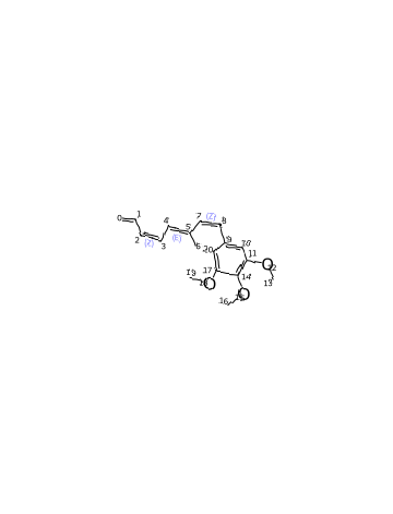 C=C\C=C/C=C(C)/C=C\c1cc(OC)c(OC)c(OC)c1